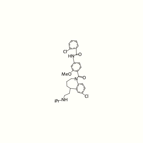 COc1cc(NC(=O)c2ccccc2Cl)ccc1C(=O)N1CCCC(CCNC(C)C)c2cc(Cl)ccc21